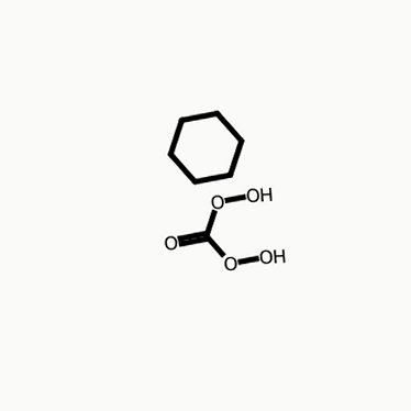 C1CCCCC1.O=C(OO)OO